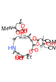 CC[C@H]1OC(=O)[C@H](C)[C@@H](O[C@H]2C[C@@](C)(OC)[C@](O)(CC#N)[C@H](C)O2)[C@H](C)[C@@H](O[C@@H]2O[C@H](C)C[C@H](NC)[C@H]2O)[C@](C)(O)C[C@@H](C)CN[C@H](C)[C@@H](O)[C@]1(C)O